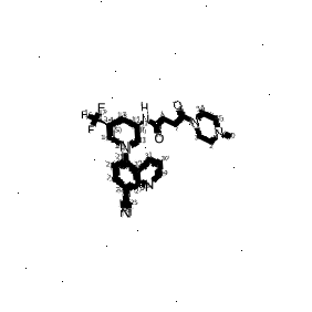 CN1CCN(C(=O)CCC(=O)N[C@@H]2C[C@H](C(F)(F)F)CN(c3ccc(C#N)c4ncccc34)C2)CC1